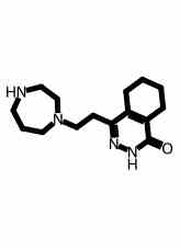 O=c1[nH]nc(CCN2CCCNCC2)c2c1CCCC2